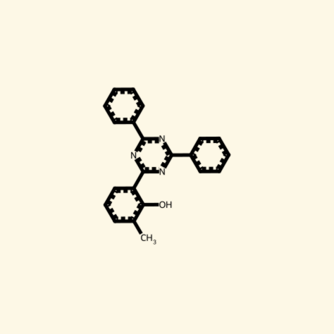 Cc1cccc(-c2nc(-c3ccccc3)nc(-c3ccccc3)n2)c1O